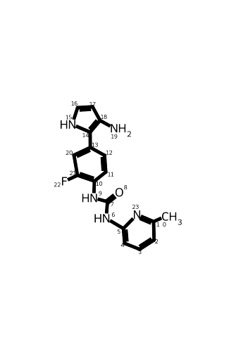 Cc1cccc(NC(=O)Nc2ccc(-c3[nH]ccc3N)cc2F)n1